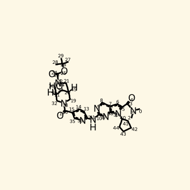 CN(C)C(=O)c1cc2cnc(Nc3ccc(C(=O)N4C[C@H]5CN(C(=O)OC(C)(C)C)C[C@@H](C4)C5O)cn3)nc2n1C1CCCC1